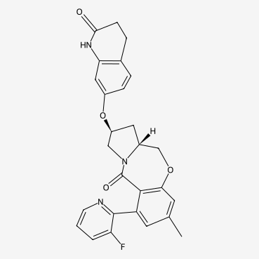 Cc1cc2c(c(-c3ncccc3F)c1)C(=O)N1C[C@@H](Oc3ccc4c(c3)NC(=O)CC4)C[C@@H]1CO2